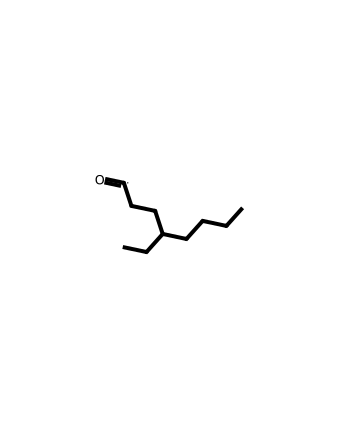 CCCCC(CC)CC[C]=O